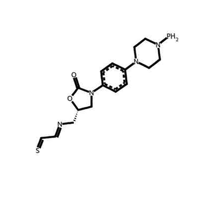 O=C1O[C@@H](CN=CC=S)CN1c1ccc(N2CCN(P)CC2)cc1